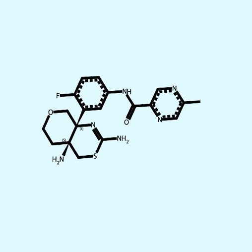 Cc1cnc(C(=O)Nc2ccc(F)c([C@]34COCC[C@@]3(N)CSC(N)=N4)c2)cn1